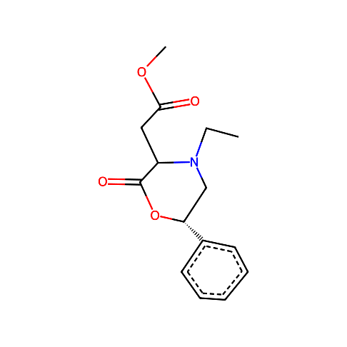 CCN1C[C@H](c2ccccc2)OC(=O)C1CC(=O)OC